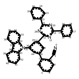 N#Cc1ccccc1-c1cc(-c2nc(-c3ccccc3)nc(-c3ccccc3)n2)cc(-n2c3ccccc3c3ccccc32)c1